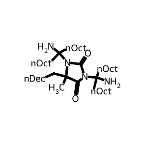 CCCCCCCCCCCC1(C)C(=O)N(C(N)(CCCCCCCC)CCCCCCCC)C(=O)N1C(N)(CCCCCCCC)CCCCCCCC